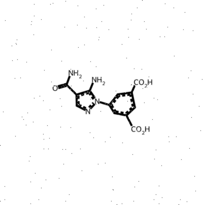 NC(=O)c1cnn(-c2cc(C(=O)O)cc(C(=O)O)c2)c1N